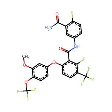 COc1cc(Oc2ccc(C(F)(F)F)c(F)c2C(=O)Nc2ccc(F)c(C(N)=O)c2)ccc1OC(F)(F)F